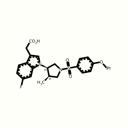 CC(C)Oc1ccc(S(=O)(=O)N2C[C@@H](C)[C@@H](n3cc(CC(=O)O)c4ccc(F)cc43)C2)cc1